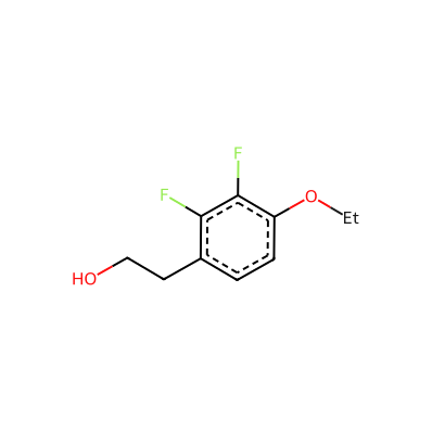 CCOc1ccc(CCO)c(F)c1F